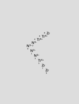 [N-3].[N-3].[N-3].[N-3].[Ti+4].[Ti+4].[Ti+4].[Zr].[Zr].[Zr]